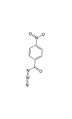 [N-]=[N+]=NC(=O)c1ccc([N+](=O)[O-])cc1